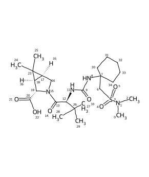 CN(C)S(=O)(=O)CC1(NC(=O)N[C@H](C(=O)N2C[C@H]3[C@@H]([C@H]2C(=O)O)C3(C)C)C(C)(C)C)CCCCC1